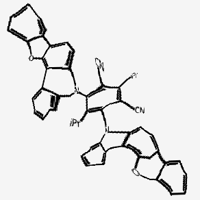 CC(C)c1c(C#N)c(-n2c3ccccc3c3c4oc5ccccc5c4ccc32)c(C(C)C)c(-n2c3ccccc3c3c4oc5ccccc5c4ccc32)c1C#N